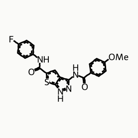 COc1ccc(C(=O)Nc2n[nH]c3sc(C(=O)Nc4ccc(F)cc4)cc23)cc1